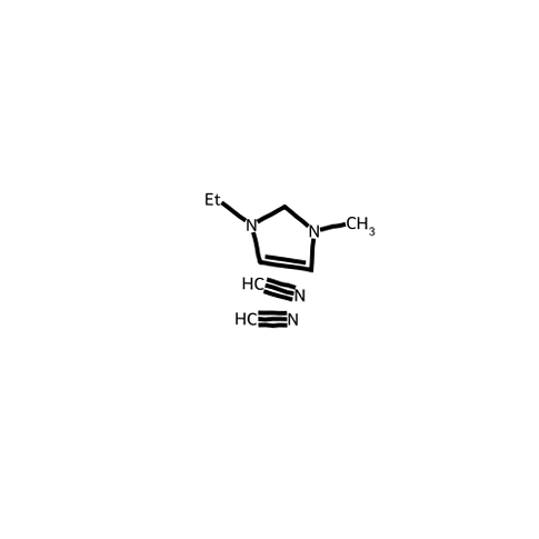 C#N.C#N.CCN1C=CN(C)C1